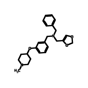 CN1CCC(Oc2cccc(CN(CC3=COCO3)Cc3ccccc3)c2)CC1